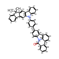 CC1(C)c2ccccc2-c2cc3c(cc21)c1ccccc1n3-c1ccc(-c2ccc3c(c2)c2cccc4c5ccccc5c(=O)n3c42)cc1